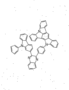 c1ccc(-n2c3ccccc3c3ccc(-c4nc5ccccc5nc4-c4ccc(-n5c6ccccc6c6cc7c8ccccc8n8c9ccccc9c(c65)c78)cc4)cc32)cc1